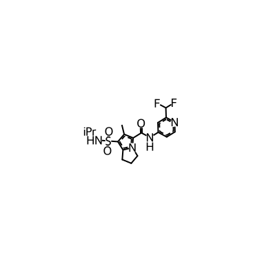 Cc1c(S(=O)(=O)NC(C)C)c2n(c1C(=O)Nc1ccnc(C(F)F)c1)CCC2